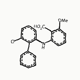 COc1cccc(Nc2cccc(Cl)c2-c2ccccc2)c1C(=O)O